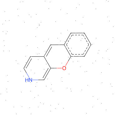 C1=CC2=Cc3ccccc3OC2=CN1